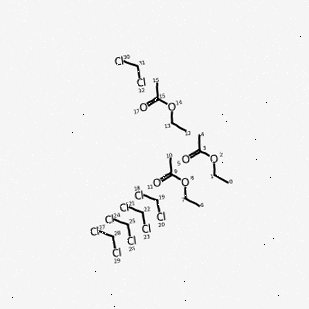 CCOC(C)=O.CCOC(C)=O.CCOC(C)=O.ClCCl.ClCCl.ClCCl.ClCCl.ClCCl